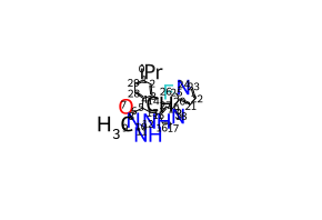 CC(C)c1ccc(C2C(=O)N(C)C(=N)N[C@]2(C)c2ccnc(-c3cccnc3F)c2)cc1